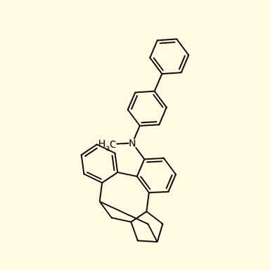 CN(c1ccc(-c2ccccc2)cc1)c1cccc2c1-c1ccccc1C1CC3CC(C1)C2C3